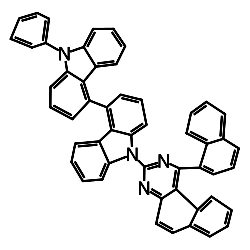 c1ccc(-n2c3ccccc3c3c(-c4cccc5c4c4ccccc4n5-c4nc(-c5cccc6ccccc56)c5c(ccc6ccccc65)n4)cccc32)cc1